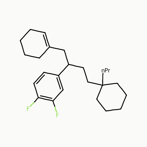 CCCC1(CCC(CC2=CCCCC2)c2ccc(F)c(F)c2)CCCCC1